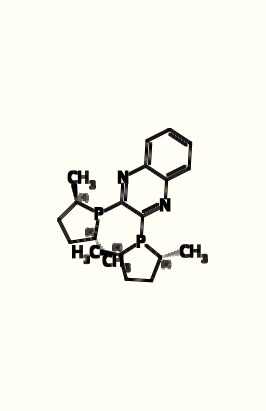 C[C@@H]1CC[C@@H](C)P1c1nc2ccccc2nc1P1[C@H](C)CC[C@H]1C